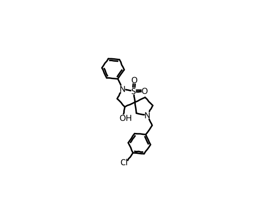 O=S1(=O)N(c2ccccc2)CC(O)C12CCN(Cc1ccc(Cl)cc1)C2